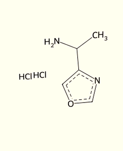 CC(N)c1cocn1.Cl.Cl